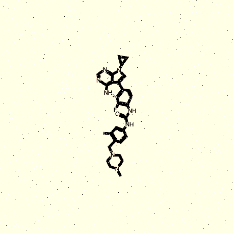 Cc1cc(NC(=O)Nc2ccc(-c3cn(C4CC4)c4ncnc(N)c34)cc2F)ccc1CN1CCN(C)CC1